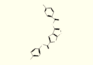 O=C(Nc1n[nH]c2sc(C(=O)Nc3ccc(F)cc3)cc12)c1ccc(Cl)cc1